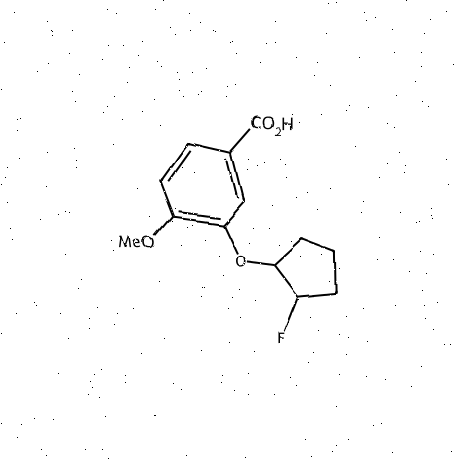 COc1ccc(C(=O)O)cc1OC1CCCC1F